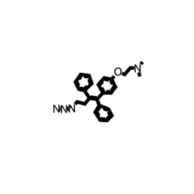 CN(C)CCOc1ccc(/C(=C(/CCN=[N+]=[N-])c2ccccc2)c2ccccc2)cc1